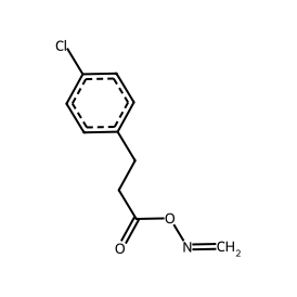 C=NOC(=O)CCc1ccc(Cl)cc1